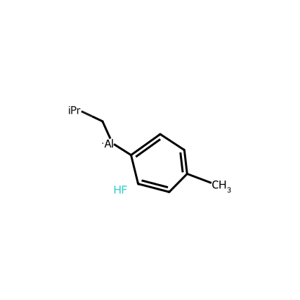 Cc1cc[c]([Al][CH2]C(C)C)cc1.F